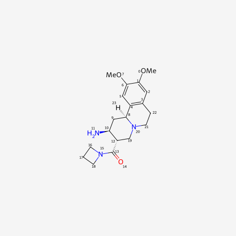 COc1cc2c(cc1OC)[C@@H]1C[C@H](N)[C@@H](C(=O)N3CCC3)CN1CC2